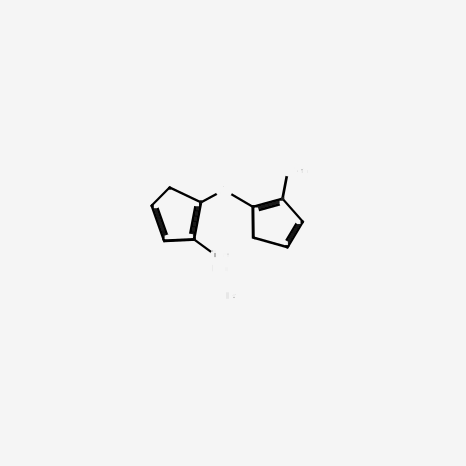 Br.Br.CCCC(C)C1=[C]([Zr][C]2=C(C(C)CCC)C=CC2)CC=C1